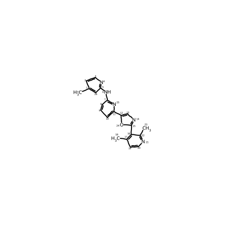 Cc1ccnc(Nc2cccc(-c3cnc(-c4c(C)ccnc4C)o3)n2)c1